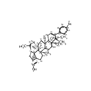 C=C(C)[C@@H]1CC[C@]2(/C=N/O)CC[C@]3(C)[C@H](CC[C@@H]4[C@@]5(C)CC=C(c6ccc(C(C)=O)cc6)C(C)(C)[C@@H]5CC[C@]43C)[C@@H]12